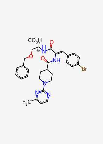 O=C(N[C@H](COCc1ccccc1)C(=O)O)C(=Cc1ccc(Br)cc1)NC(=O)C1CCN(c2nccc(C(F)(F)F)n2)CC1